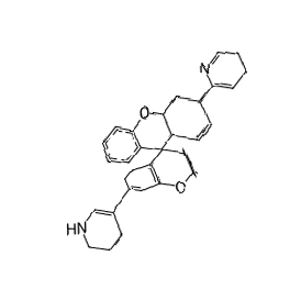 C1=CC2C(CC1C1=CCCC=N1)Oc1ccccc1C21C2=C(C=C(C3=CNCCC3)CC2)OC2=CCCCC21